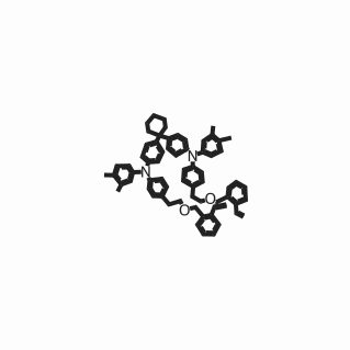 C=Cc1ccccc1COCCc1ccc(N(c2ccc(C3(c4ccc(N(c5ccc(CCOCc6ccccc6C=C)cc5)c5ccc(C)c(C)c5)cc4)CCCCC3)cc2)c2ccc(C)c(C)c2)cc1